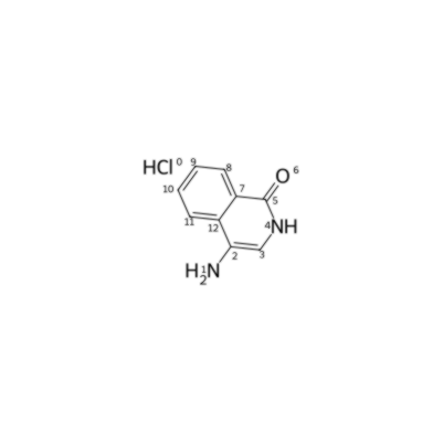 Cl.Nc1c[nH]c(=O)c2ccccc12